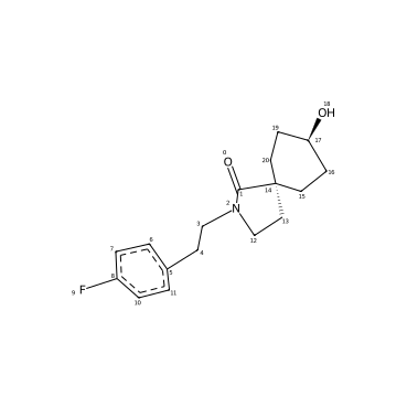 O=C1N(CCc2ccc(F)cc2)CC[C@]12CC[C@H](O)CC2